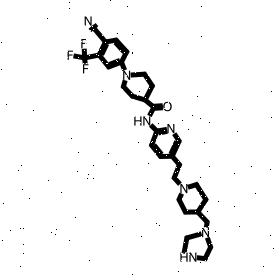 N#Cc1ccc(N2CCC(C(=O)Nc3ccc(CCN4CCC(CN5CCNCC5)CC4)cn3)CC2)cc1C(F)(F)F